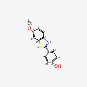 CCOc1ccc2nc(-c3ccc(O)cc3)sc2c1